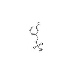 O=S(O)(=S)OCc1cccc(Cl)c1